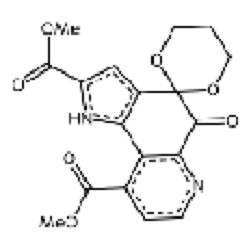 COC(=O)c1cc2c([nH]1)-c1c(C(=O)OC)ccnc1C(=O)C21OCCCO1